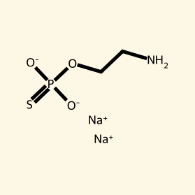 NCCOP([O-])([O-])=S.[Na+].[Na+]